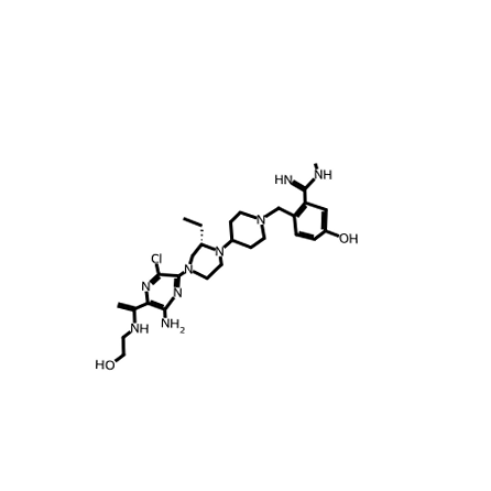 C=C(NCCO)c1nc(Cl)c(N2CCN(C3CCN(Cc4ccc(O)cc4C(=N)NC)CC3)[C@@H](CC)C2)nc1N